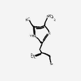 CCC(CBr)c1nc([N+](=O)[O-])c(C#N)[nH]1